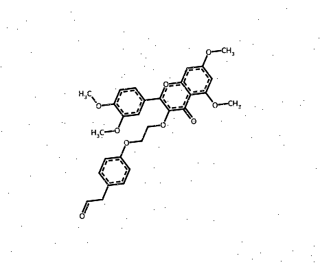 COc1cc(OC)c2c(=O)c(OCCOc3ccc(CC=O)cc3)c(-c3ccc(OC)c(OC)c3)oc2c1